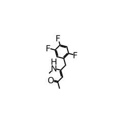 CN/C(=C\C(C)=O)Cc1cc(F)c(F)cc1F